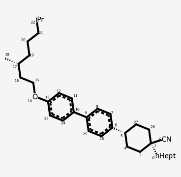 CCCCCCC[C@]1(C#N)CC[C@H](c2ccc(-c3ccc(OCC[C@H](C)CCCC(C)C)cc3)cc2)CC1